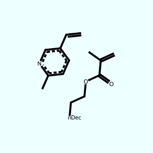 C=C(C)C(=O)OCCCCCCCCCCCC.C=Cc1ccc(C)nc1